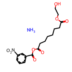 N.O=C(CCCCCCC(=O)OC(=O)c1cccc([N+](=O)[O-])c1)OCCO